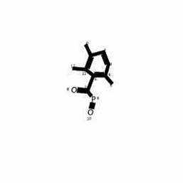 Cc1ccc(C)c(C(=O)P=O)c1C